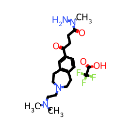 CN(C)CCN1CCc2ccc(C(=O)CCC(=O)N(C)N)cc2CC1.O=C(O)C(F)(F)F